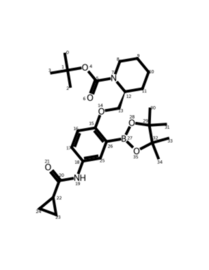 CC(C)(C)OC(=O)N1CCCC[C@H]1COc1ccc(NC(=O)C2CC2)cc1B1OC(C)(C)C(C)(C)O1